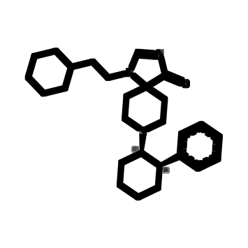 O=C1N=CN(CCC2CCCCC2)C12CCN([C@@H]1CCCC[C@@H]1c1ccccc1)CC2